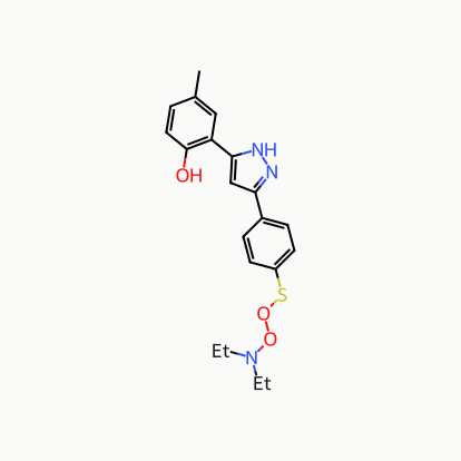 CCN(CC)OOSc1ccc(-c2cc(-c3cc(C)ccc3O)[nH]n2)cc1